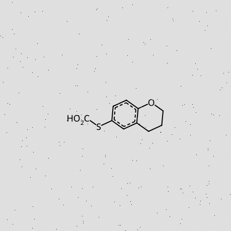 O=C(O)Sc1ccc2c(c1)CCCO2